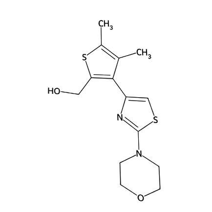 Cc1sc(CO)c(-c2csc(N3CCOCC3)n2)c1C